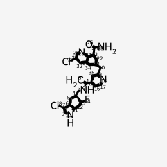 C=C(NCc1cc2c(Cl)c[nH]c2cc1F)c1ccnc(Cc2cc(C(N)=O)c3ncc(Cl)cc3c2)c1